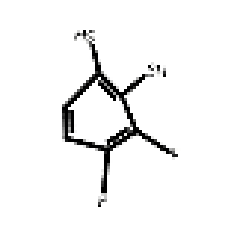 Fc1ccc(S)c(S)c1F